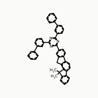 CC1(C)c2ccccc2-c2ccc3c(c21)Cc1cc(-c2nc(-c4cccc(-c5ccccc5)c4)nc(-c4cccc(-c5ccccc5)c4)n2)ccc1-3